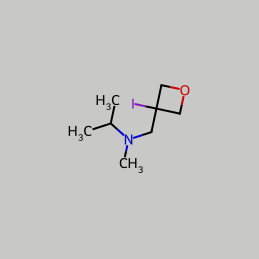 CC(C)N(C)CC1(I)COC1